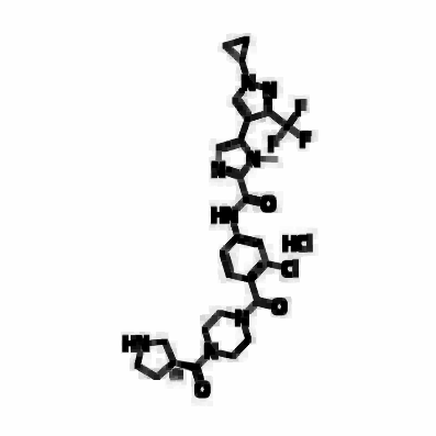 Cl.Cn1c(-c2cn(C3CC3)nc2C(F)(F)F)cnc1C(=O)Nc1ccc(C(=O)N2CCN(C(=O)[C@H]3CCNC3)CC2)c(Cl)c1